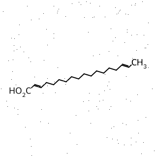 CC=CCCCCCCCCCCCCC=CC(=O)O